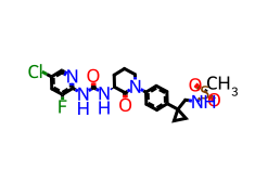 CS(=O)(=O)NCC1(c2ccc(N3CCC[C@@H](NC(=O)Nc4ncc(Cl)cc4F)C3=O)cc2)CC1